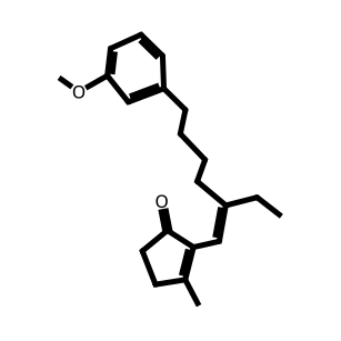 CC/C(=C/C1=C(C)CCC1=O)CCCCc1cccc(OC)c1